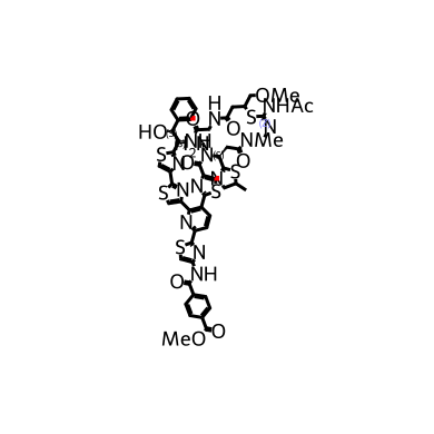 C/N=C(/NC(C)=O)SC(COC)CC(=O)NCC(=O)N[C@H](c1nc(-c2nc(-c3nc(-c4nc(NC(=O)c5ccc(C(=O)OC)cc5)cs4)ccc3-c3nc(C(=O)N(N)[C@@H](CC(=O)NC)C4=NCC(C)S4)cs3)cs2)cs1)[C@@H](O)c1ccccc1